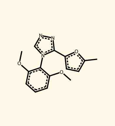 COc1cccc(OC)c1-n1cnnc1-c1ccc(C)o1